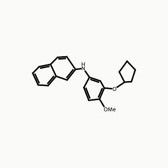 COc1ccc(Nc2ccc3ccccc3c2)cc1OC1CCCC1